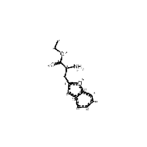 CCOC(=O)C(N)Cc1cc2ccccc2o1